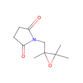 CC1(C)OC1(C)CN1C(=O)CCC1=O